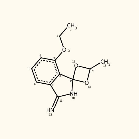 CCOc1cccc2c1C1(NC2=N)OC(C)O1